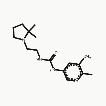 Cc1ncc(NC(=O)NCCN2CCCC2(C)C)cc1N